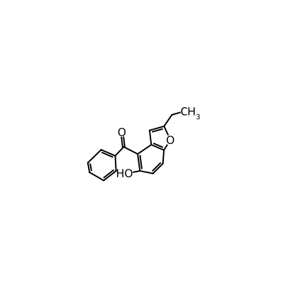 CCc1cc2c(C(=O)c3ccccc3)c(O)ccc2o1